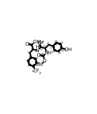 COC(=O)C(Cc1ccc(C(F)(F)F)cc1)NC(=O)C(Cc1ccc(O)cc1)NC(=O)OC(C)(C)C